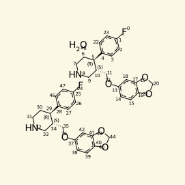 Fc1ccc([C@@H]2CCNC[C@H]2COc2ccc3c(c2)OCO3)cc1.Fc1ccc([C@@H]2CCNC[C@H]2COc2ccc3c(c2)OCO3)cc1.O